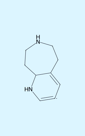 [C]1=CNC2CCNCCC2=C1